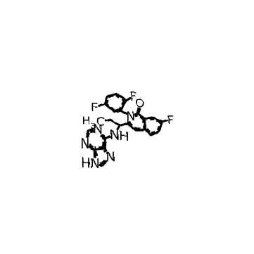 CCC(Nc1ncnc2[nH]cnc12)c1cc2ccc(F)cc2c(=O)n1-c1cc(F)ccc1F